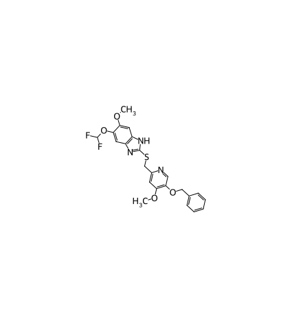 COc1cc(CSc2nc3cc(OC(F)F)c(OC)cc3[nH]2)ncc1OCc1ccccc1